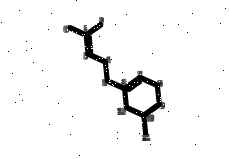 CC(C)=CCCC1=CCCC(C)C1